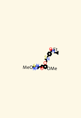 CCN(CC1CC1)C(=O)c1ccc(-c2nc(COc3cc(OC)cc4oc(-c5cn6nc(OC)sc6n5)cc34)cs2)cc1